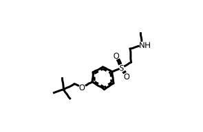 CNCCS(=O)(=O)c1ccc(OCC(C)(C)C)cc1